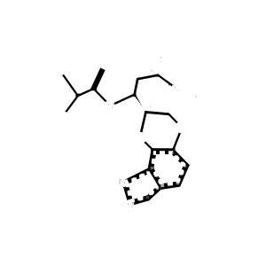 CC(C)C(=O)NC(C[C@H](C)N)[C@H]1COc2ccc3cn[nH]c3c2O1.Cl